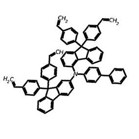 C=Cc1ccc(C2(c3ccc(C=C)cc3)c3ccccc3-c3ccc(N(c4ccc(-c5ccccc5)cc4)c4cccc5c4-c4ccccc4C5(c4ccc(C=C)cc4)c4ccc(C=C)cc4)cc32)cc1